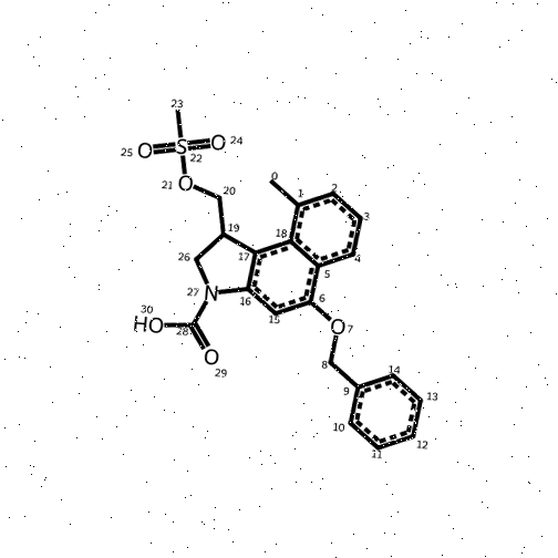 Cc1cccc2c(OCc3ccccc3)cc3c(c12)C(COS(C)(=O)=O)CN3C(=O)O